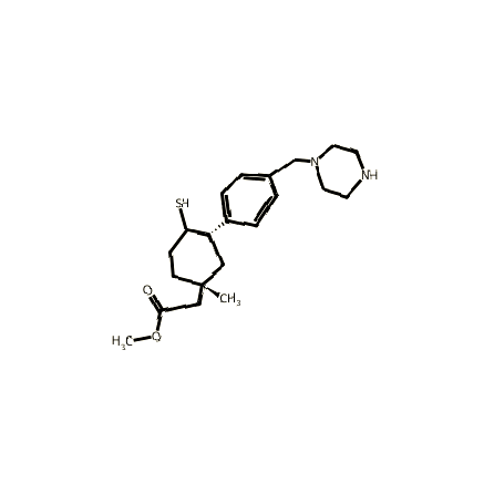 COC(=O)C[C@]1(C)CCC(S)[C@H](c2ccc(CN3CCNCC3)cc2)C1